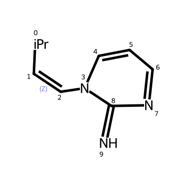 CC(C)/C=C\n1cccnc1=N